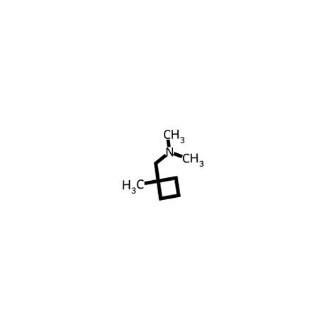 CN(C)CC1(C)CCC1